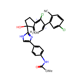 C=C1/C(=C(Cl)\C(=C/N=O)c2cc(Cl)ccc2C#N)CCC1(O)c1nc(-c2ccc(NC(=O)OC)cc2)c[nH]1